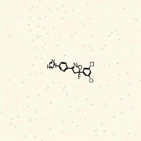 FC1(c2cc(Cl)cc(Cl)c2)CC(c2ccc(-n3cncn3)cc2)=NO1